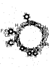 CC[C@H](C)[C@@H]1NC(=O)[C@H](CC(C)C)N(C)C(=O)C[C@@H](C(=O)N2CCCC2)N(C)C(=O)[C@H](C2CCCC2)N(C)C(=O)C2(CCCC2)NC(=O)[C@H](CC(=O)N2CCC(F)(F)CC2)N(C)C(=O)[C@H](CCc2ccc(C(F)(F)F)c(Cl)c2)NC(=O)CN(C)C(=O)[C@H](CCC2CCCCC2)N(C)C(=O)[C@@H]2CCN2C(=O)[C@H](C)N(C)C1=O